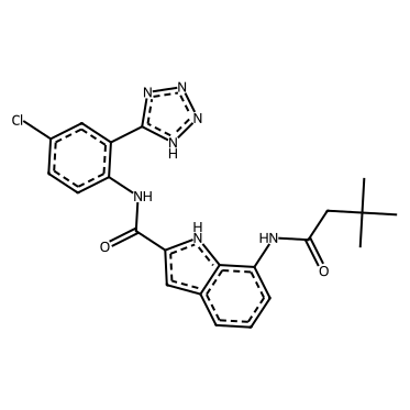 CC(C)(C)CC(=O)Nc1cccc2cc(C(=O)Nc3ccc(Cl)cc3-c3nnn[nH]3)[nH]c12